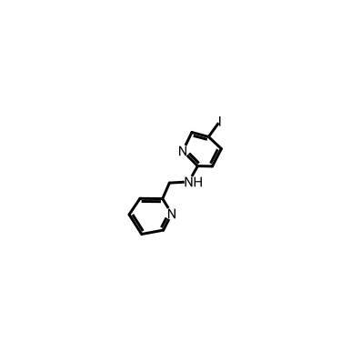 Ic1ccc(NCc2ccccn2)nc1